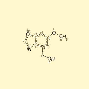 COc1cc(CO)c2ncoc2c1